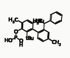 Cc1ccc(-c2c(C(C)(C)C)cc(C)c(OP(O)O)c2C(C)(C)C)c(C(C)c2ccccc2)c1